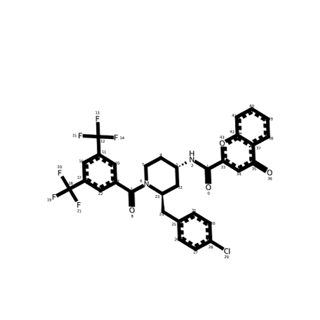 O=C(N[C@H]1CCN(C(=O)c2cc(C(F)(F)F)cc(C(F)(F)F)c2)[C@H](Cc2ccc(Cl)cc2)C1)c1cc(=O)c2ccccc2o1